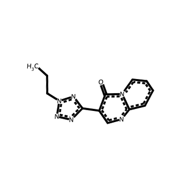 CCCn1nnc(-c2cnc3ccccn3c2=O)n1